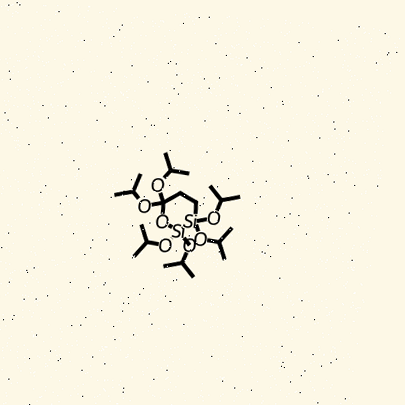 CC(C)OC1(OC(C)C)CC[Si](OC(C)C)(OC(C)C)[Si](OC(C)C)(OC(C)C)O1